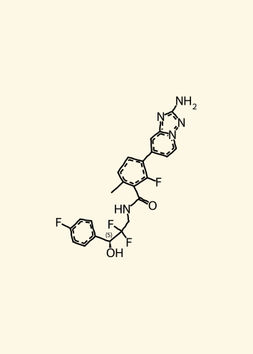 Cc1ccc(-c2ccn3nc(N)nc3c2)c(F)c1C(=O)NCC(F)(F)[C@@H](O)c1ccc(F)cc1